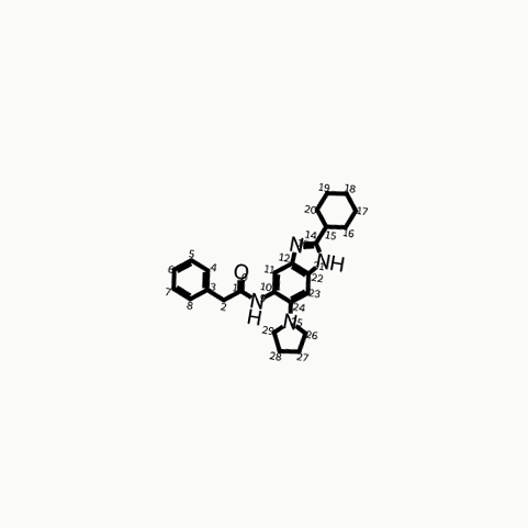 O=C(Cc1ccccc1)Nc1cc2nc(C3CCCCC3)[nH]c2cc1N1CCCC1